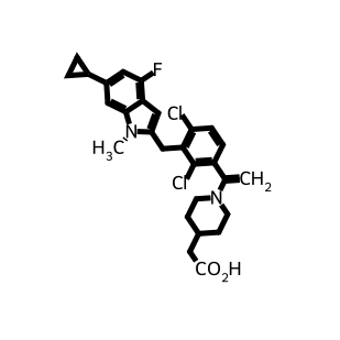 C=C(c1ccc(Cl)c(Cc2cc3c(F)cc(C4CC4)cc3n2C)c1Cl)N1CCC(CC(=O)O)CC1